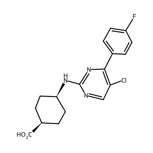 O=C(O)[C@H]1CC[C@@H](Nc2ncc(Cl)c(-c3ccc(F)cc3)n2)CC1